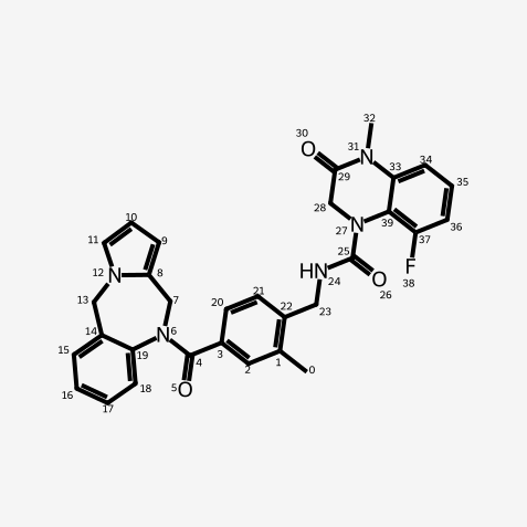 Cc1cc(C(=O)N2Cc3cccn3Cc3ccccc32)ccc1CNC(=O)N1CC(=O)N(C)c2cccc(F)c21